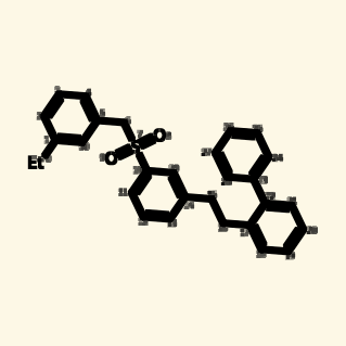 CCc1cccc(CS(=O)(=O)c2cccc(CCc3ccccc3-c3ccccc3)c2)c1